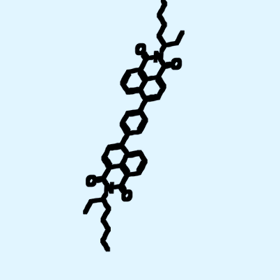 CCCCCC(CC)N1C(=O)c2cccc3c(-c4ccc(-c5ccc6c7c(cccc57)C(=O)N(C(CC)CCCCC)C6=O)cc4)ccc(c23)C1=O